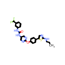 CCCNc1ncc(-c2ccc(Oc3ncc(NC(=O)Nc4cccc(C(F)F)c4)cn3)cc2)s1